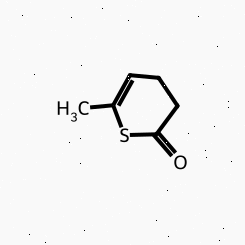 CC1=CCCC(=O)S1